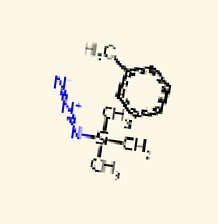 C[Si](C)(C)N=[N+]=[N-].Cc1ccccc1